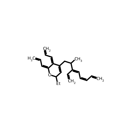 C=C/C=C\C=C(/C=C)C(C)CC1=CC(CC)OC(=C/C=C)/C1=C\C=C